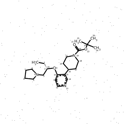 CC[C@@H](CN1CCCC1)Oc1ccncc1C1CCN(C(=O)OC(C)(C)C)CC1